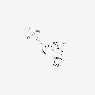 CCOC(=O)C1=C(C)CC(C)(C)c2cc(C#C[Si](C)(C)C)ccc21